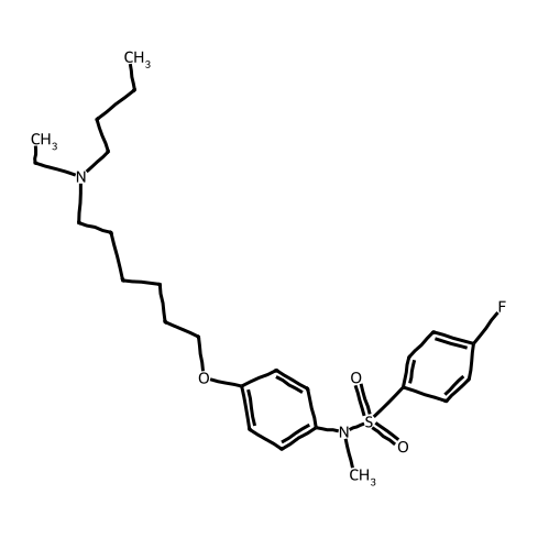 CCCCN(CC)CCCCCCOc1ccc(N(C)S(=O)(=O)c2ccc(F)cc2)cc1